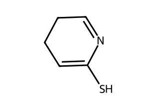 SC1=CCCC=N1